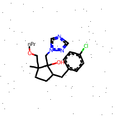 CCCOCC1(C)CCC(Cc2ccc(Cl)cc2)C1(O)Cn1cncn1